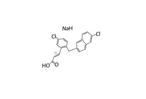 O=C(O)/C=C/c1cc(Cl)ccc1Cc1ccc2cc(Cl)ccc2c1.[NaH]